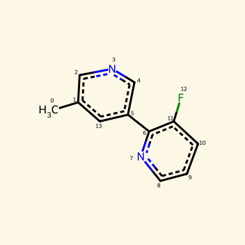 Cc1cncc(-c2ncccc2F)c1